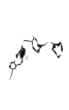 CC(=O)c1ccc2nc(Oc3ccc(Oc4ccncc4)cc3C)ccc2c1